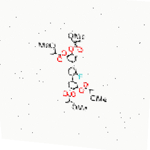 C=C(COC)C(=O)Oc1ccc(-c2ccc(-c3ccc(OC(=O)C(=C)COC)c(OC(=O)C(=C)COC)c3)c(F)c2)cc1OC(=O)C(=C)COC